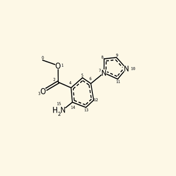 COC(=O)c1cc(-n2ccnc2)ccc1N